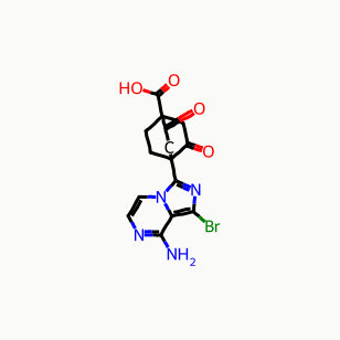 Nc1nccn2c(C34CCC(C(=O)O)(CC3=O)C(=O)C4)nc(Br)c12